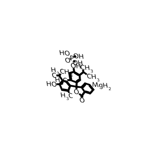 Cc1cc(O)c(C(C)C)cc1C1(c2cc(C(C)C)c(O)cc2C)OC(=O)c2ccccc21.O=P(O)(O)O.[MgH2]